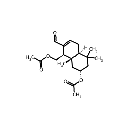 CC(=O)OC[C@H]1C(C=O)=CC[C@H]2C(C)(C)C[C@H](OC(C)=O)C[C@]12C